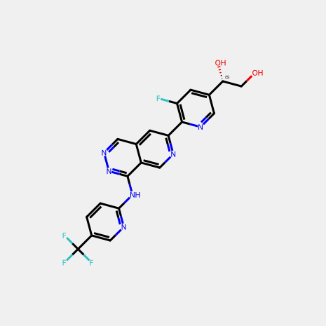 OC[C@@H](O)c1cnc(-c2cc3cnnc(Nc4ccc(C(F)(F)F)cn4)c3cn2)c(F)c1